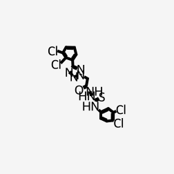 O=C(Cn1nnc(-c2cccc(Cl)c2Cl)n1)NNC(=S)Nc1ccc(Cl)c(Cl)c1